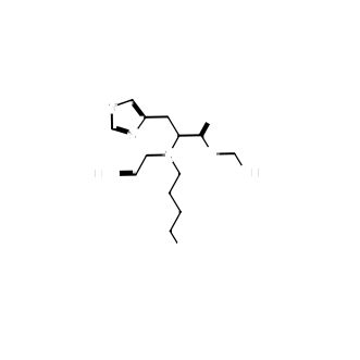 C=CCN(CCCCC)C(Cc1c[nH]cn1)C(=O)OCC